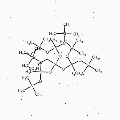 C[Si](C)(C)O[Si](C)(O[Si](C)(C)C)O[Si](CCC(=O)O)(O[Si](C)(O[Si](C)(C)C)O[Si](C)(C)C)O[Si](C)(O[Si](C)(C)C)O[Si](C)(C)C